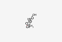 C[C@]1(c2ccccc2F)Cc2cnc(Nc3cccc(CO)c3)nc2-c2ccccc21